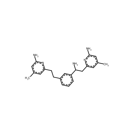 Cc1cc(N)nc(CCc2cccc(C(N)Cc3cc(C)cc(N)n3)c2)c1